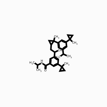 CC(C)NC(=O)c1cc(C(C)CC2CC2(C)c2cc(C(C)C)cc(C3(C)CC3)c2)cc(C2(C)CC2)c1